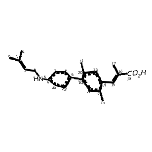 CC(C)=CCNc1ccc(-c2cc(C)c(/C=C(\C)C(=O)O)cc2C)cc1